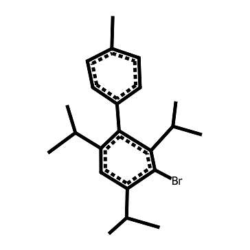 Cc1ccc(-c2c(C(C)C)cc(C(C)C)c(Br)c2C(C)C)cc1